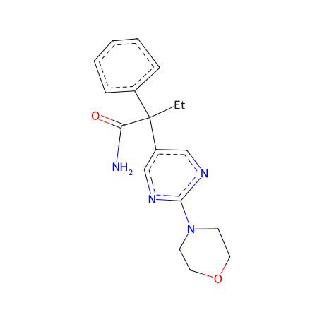 CCC(C(N)=O)(c1ccccc1)c1cnc(N2CCOCC2)nc1